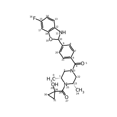 C[C@@H]1CN(C(=O)c2ccc(C3Nc4ccc(F)cc4O3)cc2)C[C@H](C)N1C(=O)C1(O)CC1